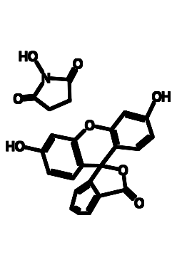 O=C1CCC(=O)N1O.O=C1OC2(c3ccc(O)cc3Oc3cc(O)ccc32)c2ccccc21